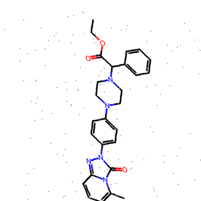 CCOC(=O)C(c1ccccc1)N1CCN(c2ccc(-n3nc4cccc(C)n4c3=O)cc2)CC1